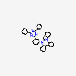 c1ccc(-c2nc(-c3ccccc3)nc(-c3cccc(N4c5ccccc5-c5ccccc5-n5c4cc4ccccc45)c3)n2)cc1